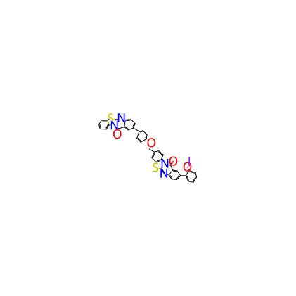 O=c1c2cc(-c3ccc(OCc4ccc5c(c4)sc4nc6ccc(-c7ccccc7OI)cc6c(=O)n45)cc3)ccc2nc2sc3ccccc3n12